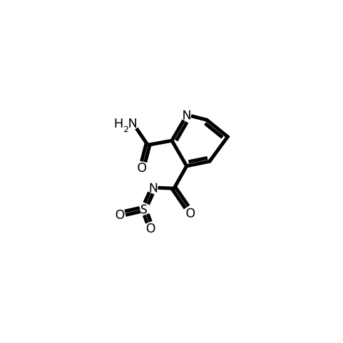 NC(=O)c1ncccc1C(=O)N=S(=O)=O